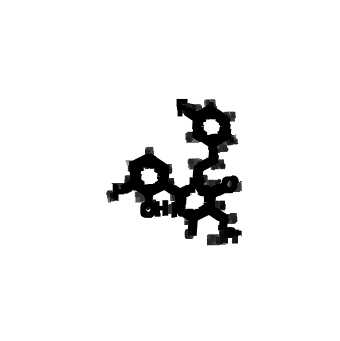 Cc1nc(-c2cccc(F)c2O)n(CCc2cccc(F)c2)c(=O)c1CC(C)C